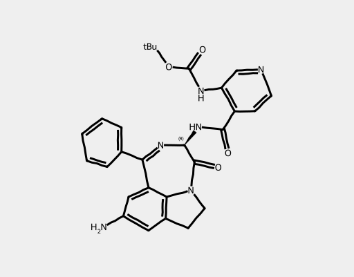 CC(C)(C)OC(=O)Nc1cnccc1C(=O)N[C@@H]1N=C(c2ccccc2)c2cc(N)cc3c2N(CC3)C1=O